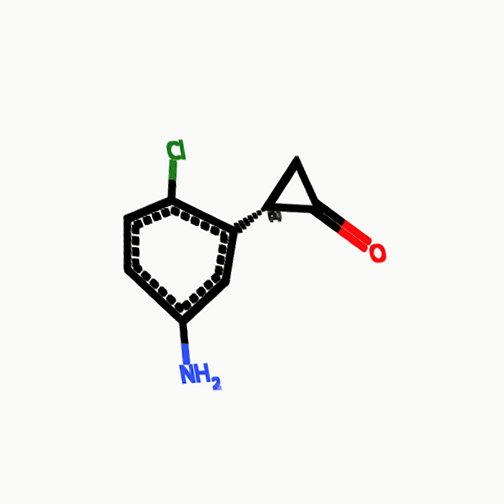 Nc1ccc(Cl)c([C@@H]2CC2=O)c1